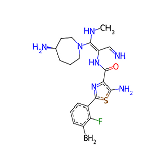 Bc1cccc(-c2nc(C(=O)N/C(C=N)=C(/NC)N3CCC[C@@H](N)CC3)c(N)s2)c1F